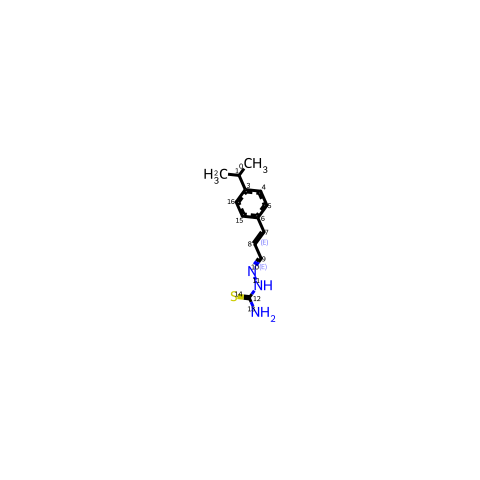 CC(C)c1ccc(/C=C/C=N/NC(N)=S)cc1